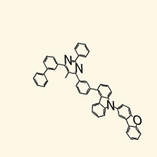 Cc1c(-c2cccc(-c3ccccc3)c2)nc(-c2ccccc2)nc1-c1cccc(-c2cccc3c2c2ccccc2n3-c2ccc3oc4ccccc4c3c2)c1